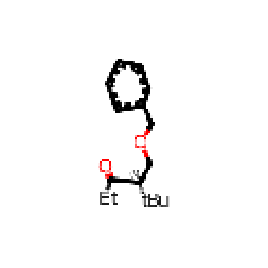 CCC(=O)[C@H](COCc1ccccc1)C(C)(C)C